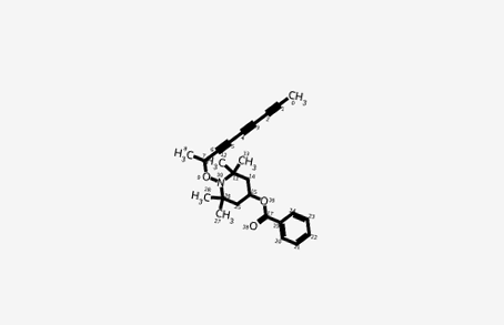 CC#CC#CC#CC(C)ON1C(C)(C)CC(OC(=O)c2ccccc2)CC1(C)C